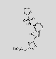 CCOC(=O)Cc1csc(-c2cc3cccc(NS(=O)(=O)c4cccs4)c3[nH]2)n1